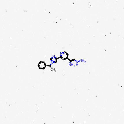 CC(c1ccccc1)n1cnc(-c2cc(/C(N)=C/NN)ccn2)c1